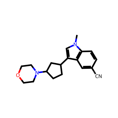 Cn1cc(C2CCC(N3CCOCC3)C2)c2cc(C#N)ccc21